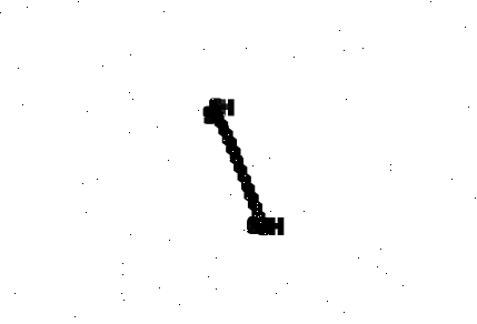 O=C(O)CCCCCCCCCCCCCCCCCCCCCCCC(=S)S